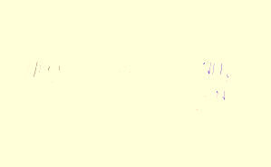 CN(C(=O)[C@@H](N)C1CCC(COc2ccc(C(=O)O)cc2)CC1)C1CCC1